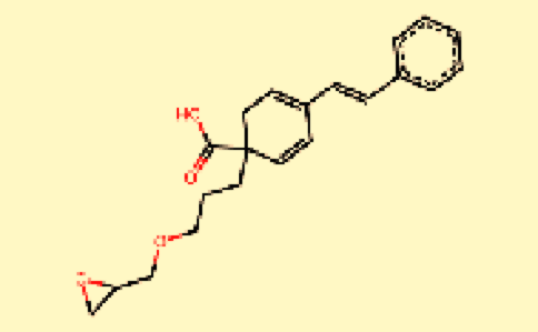 O=C(O)C1(CCCOCC2CO2)C=CC(C=Cc2ccccc2)=CC1